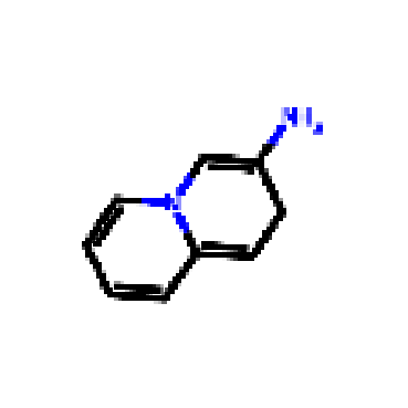 NC1=CN2C=CC=CC2=CC1